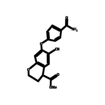 COC(=O)C1CCOc2cc(Oc3ccc(C(N)=O)cc3)c(C#N)cc21